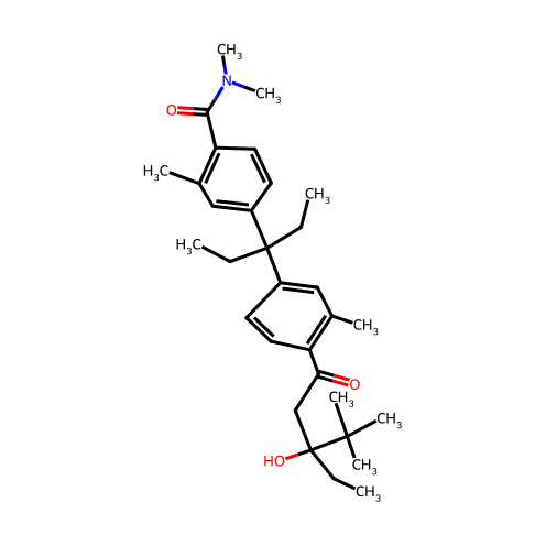 CCC(CC)(c1ccc(C(=O)CC(O)(CC)C(C)(C)C)c(C)c1)c1ccc(C(=O)N(C)C)c(C)c1